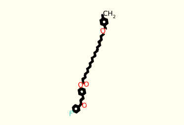 C=Cc1ccc(COCCCCCCCCCCCCCCCCCCC(=O)Oc2ccc(C=CC(=O)c3ccc(F)cc3)cc2)cc1